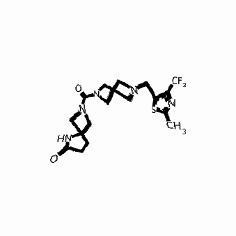 Cc1nc(C(F)(F)F)c(CN2CC3(C2)CN(C(=O)N2CC4(CCC(=O)N4)C2)C3)s1